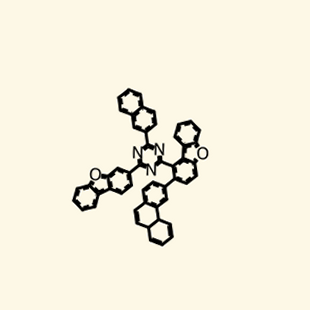 C1=CC2C=Cc3ccc(-c4ccc5oc6ccccc6c5c4-c4nc(-c5ccc6ccccc6c5)nc(-c5ccc6c(c5)oc5ccccc56)n4)cc3C2C=C1